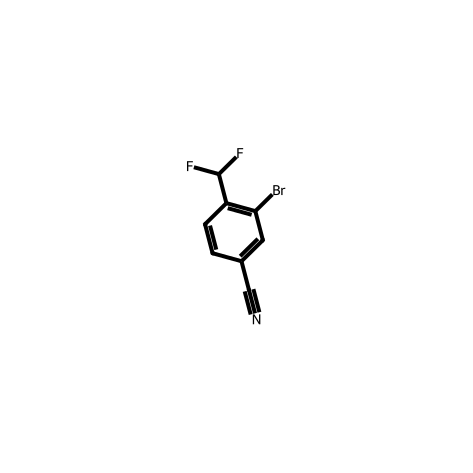 N#Cc1ccc(C(F)F)c(Br)c1